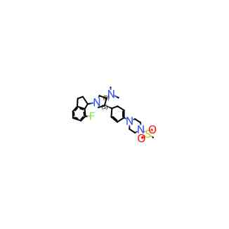 CN(C)[C@H]1CN(C2CCc3cccc(F)c32)C[C@@H]1C1C=CC(N2CCN(S(C)(=O)=O)CC2)=CC1